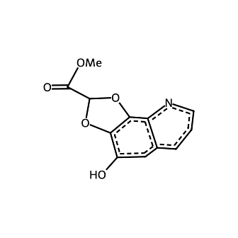 COC(=O)C1Oc2c(O)cc3cccnc3c2O1